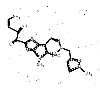 CN(Cc1ccn(C)n1)/N=C\c1c(C=O)n(C)c2nc(C(=O)C(=N)/C=C\N)sc12